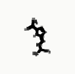 CN(C)NN=C1N=CC(C(N)=O)=N1